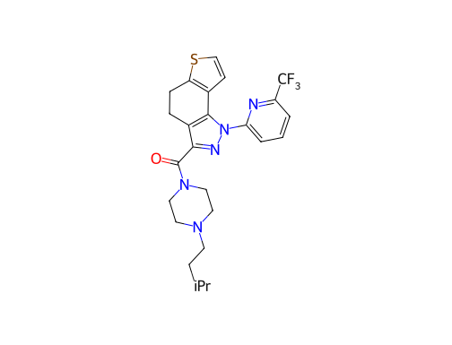 CC(C)CCN1CCN(C(=O)c2nn(-c3cccc(C(F)(F)F)n3)c3c2CCc2sccc2-3)CC1